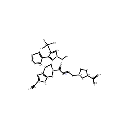 CCn1cc(-c2ccccc2[C@@H]2CN(C(=O)/C=C/CN3CCC(C(=O)O)C3)Cc3sc(C#N)cc32)c(C(F)(F)F)n1